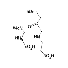 CCCCCCCCCCCC(=O)CNCCS(=O)(=O)O.CNCCS(=O)(=O)O.N